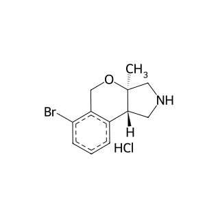 C[C@]12CNC[C@@H]1c1cccc(Br)c1CO2.Cl